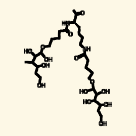 CC(=O)[C@@H](CCCCNC(=O)CCCCOC(O)C(O)C(O)C(O)CCO)NC(=O)CCCCOC(O)C(O)C(C)C(O)CCO